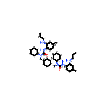 CCCNc1cc(C)ccc1NC(=O)N(C[C@H]1CC[C@H](CN(C(=O)Nc2ccc(C)cc2NCCC)C2CCCCC2)CC1)C1CCCCC1